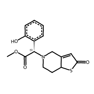 COC(=O)[C@H](c1ccccc1O)N1CCC2SC(=O)C=C2C1